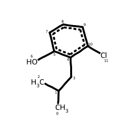 CC(C)Cc1c(O)cccc1Cl